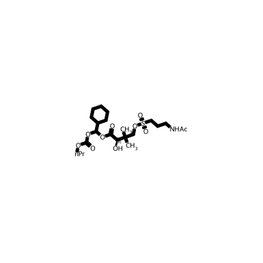 CCCOC(=O)OC(OC(=O)[C@H](O)C(C)(C)COS(=O)(=O)CCCNC(C)=O)C1CCCCC1